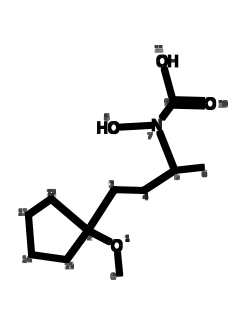 COC1(CCC(C)N(O)C(=O)O)CCCC1